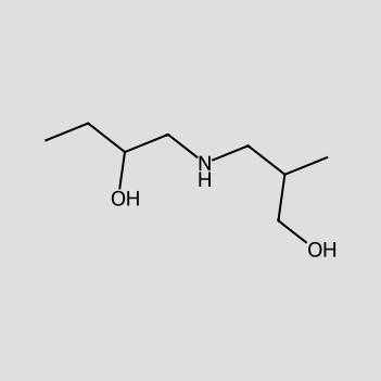 CCC(O)CNCC(C)CO